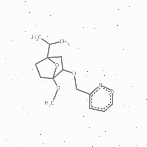 COC12CCC(C(C)C)(CC1OCc1cccnn1)O2